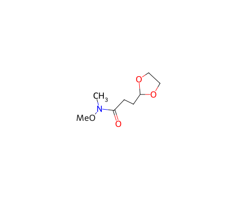 CON(C)C(=O)CCC1OCCO1